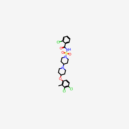 Cc1c(OC2CCN(C3CCN(S(=O)(=O)NC(=O)c4ccccc4Cl)CC3)CC2)ccc(Cl)c1Cl